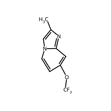 Cc1cn2ccc(OC(F)(F)F)cc2n1